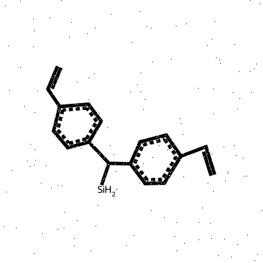 C=Cc1ccc(C([SiH2])c2ccc(C=C)cc2)cc1